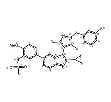 COc1ccc(-c2cnc3[nH]c(C4CC4)c(-c4c(C)nn(Cc5cccc(F)c5)c4C)c3c2)cc1NS(C)(=O)=O